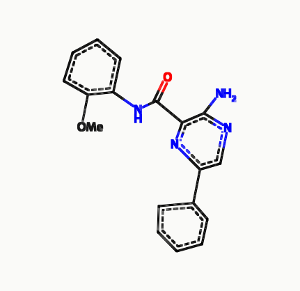 COc1ccccc1NC(=O)c1nc(-c2ccccc2)cnc1N